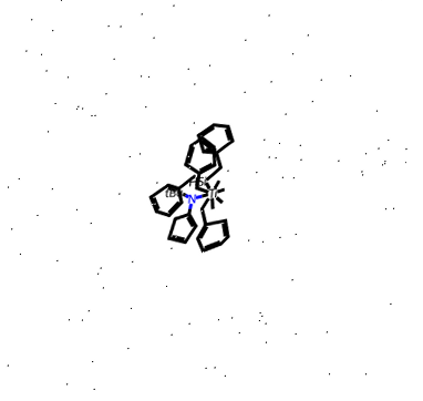 CC(C)(C)[N](C1=CC=CC1)[Ti]([CH3])([CH3])([CH3])([CH3])([CH2]c1ccccc1)([CH2]c1ccccc1)[SiH](Cc1ccccc1)Cc1ccccc1